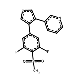 CS(=O)(=O)c1c(F)cc(-c2cscc2-c2cccnc2)cc1F